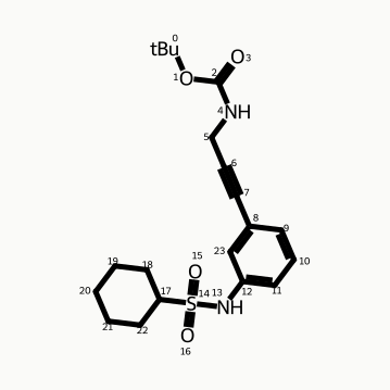 CC(C)(C)OC(=O)NCC#Cc1cccc(NS(=O)(=O)C2CCCCC2)c1